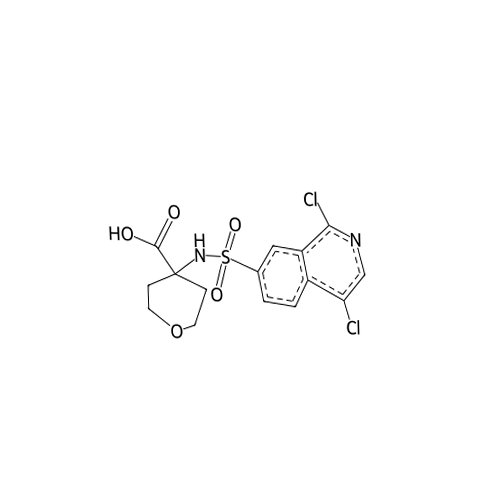 O=C(O)C1(NS(=O)(=O)c2ccc3c(Cl)cnc(Cl)c3c2)CCOCC1